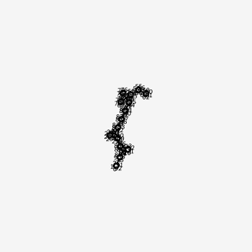 c1ccc(-c2ccc(-n3c4ccccc4c4cc(-c5ccc6c(c5)c5ccccc5n6-c5ccc(-c6ccc(-c7ccc(-c8cccc(C9(c%10ccc(-c%11cccc(-c%12ccccc%12)c%11)cc%10)c%10ccccc%10-c%10ccccc%109)c8)cc7)cc6)cc5)ccc43)cc2)cc1